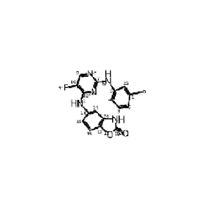 Cc1cccc(Nc2ncc(F)c(Nc3ccc4oc(=O)[nH]c4c3)n2)c1